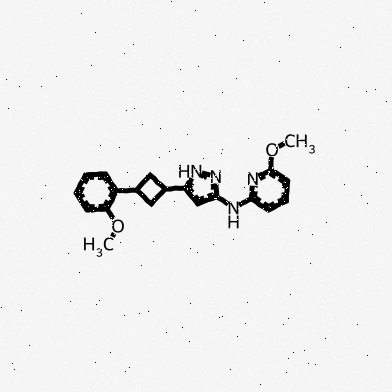 COc1cccc(Nc2cc(C3CC(c4ccccc4OC)C3)[nH]n2)n1